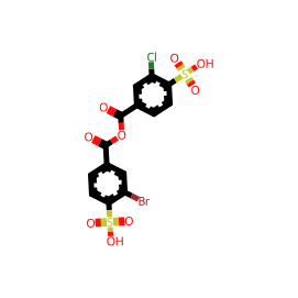 O=C(OC(=O)c1ccc(S(=O)(=O)O)c(Br)c1)c1ccc(S(=O)(=O)O)c(Cl)c1